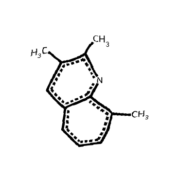 Cc1cc2cccc(C)c2nc1C